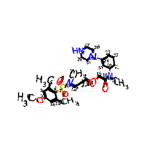 COc1cc(C)c(S(=O)(=O)N(C)CCOCC(=O)N(C)[C@H]2CCC[C@@H](N3CCNCC3)C2)c(C)c1